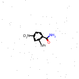 CCCc1cc([N+](=O)[O-])ccc1C(N)=O